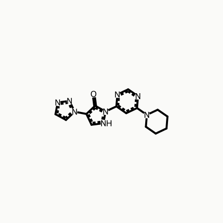 O=c1c(-n2ccnn2)c[nH]n1-c1cc(N2CCCCC2)ncn1